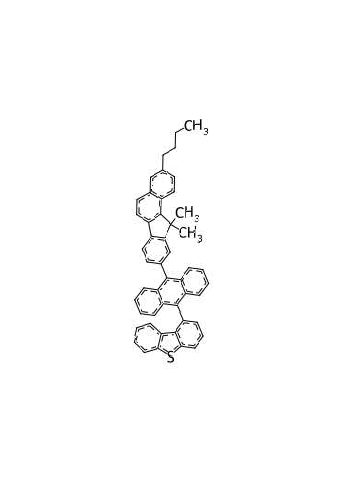 CCCCc1ccc2c3c(ccc2c1)-c1ccc(-c2c4ccccc4c(-c4cccc5sc6ccccc6c45)c4ccccc24)cc1C3(C)C